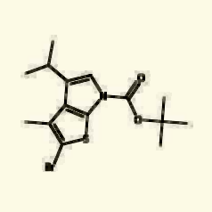 Cc1c(Br)sc2c1c(C(C)C)cn2C(=O)OC(C)(C)C